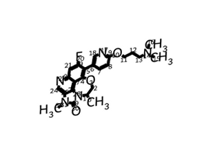 CC1COc2c(-c3ccc(OCCCN(C)C)nc3)c(F)cc3ncc4c(c23)n1c(=O)n4C